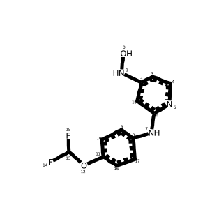 ONc1ccnc(Nc2ccc(OC(F)F)cc2)c1